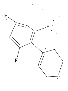 Fc1cc(F)c(C2=CC[CH]CC2)c(F)c1